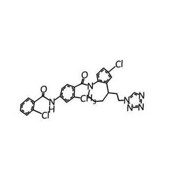 Cc1cc(NC(=O)c2ccccc2Cl)ccc1C(=O)N1CCCC(CCn2cnnn2)c2cc(Cl)ccc21